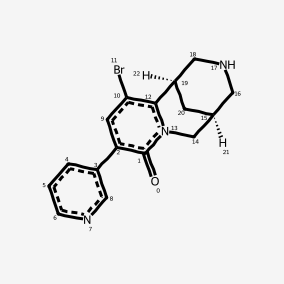 O=c1c(-c2cccnc2)cc(Br)c2n1C[C@@H]1CNC[C@H]2C1